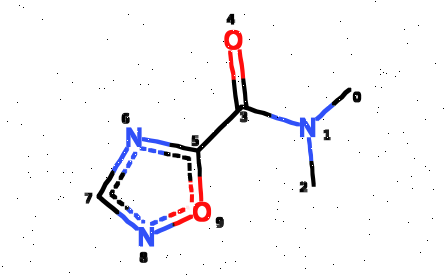 CN(C)C(=O)c1ncno1